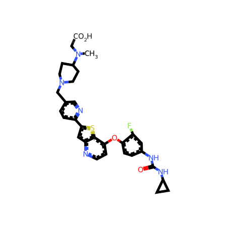 CN(CC(=O)O)C1CCN(Cc2ccc(-c3cc4nccc(Oc5ccc(NC(=O)NC6CC6)cc5F)c4s3)nc2)CC1